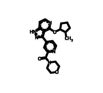 CC1CCCC1Oc1nccc2[nH]nc(-c3ccnc(C(=O)N4CCOCC4)c3)c12